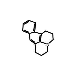 c1ccc2c3c4c(cc2c1)CCCN4CCC3